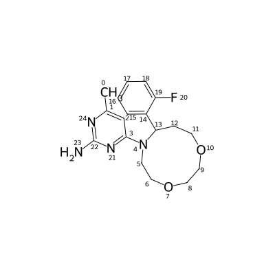 Cc1cc(N2CCOCCOCCC2c2ccccc2F)nc(N)n1